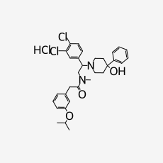 CC(C)Oc1cccc(CC(=O)N(C)CC(c2ccc(Cl)c(Cl)c2)N2CCC(O)(c3ccccc3)CC2)c1.Cl